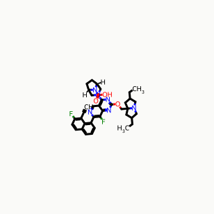 C#Cc1c(F)ccc2cccc(-c3ncc4c(N5C[C@H]6CC[C@@H](C5)N6C(=O)O)nc(OCC56CC(CC)CN5CC(CC)C6)nc4c3F)c12